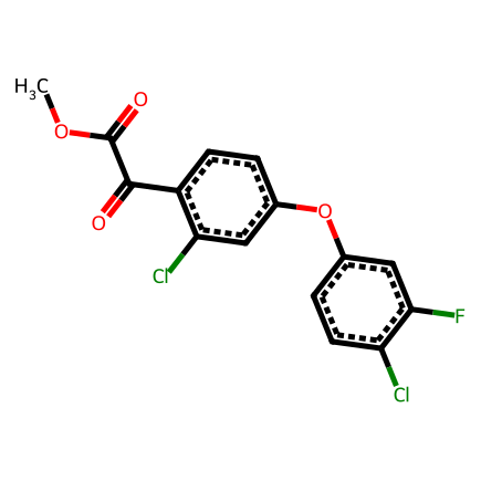 COC(=O)C(=O)c1ccc(Oc2ccc(Cl)c(F)c2)cc1Cl